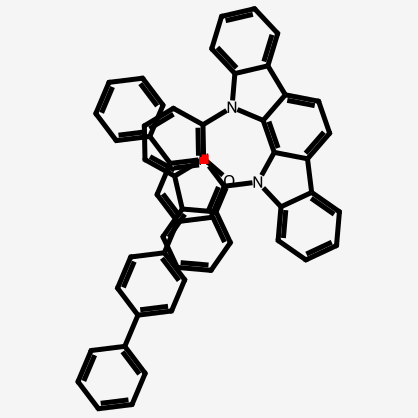 c1ccc(-c2ccc(-c3cc(-c4ccccc4)nc(-n4c5ccccc5c5ccc6c7ccccc7n(-c7cccc8c7oc7ccccc78)c6c54)c3)cc2)cc1